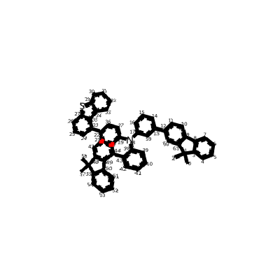 CC1(C)c2ccccc2-c2ccc(-c3cccc(N(c4ccc(-c5cccc6sc7ccccc7c56)cc4)c4ccccc4-c4cccc5c4-c4ccccc4C5(C)C)c3)cc21